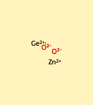 [Ge+2].[O-2].[O-2].[Zn+2]